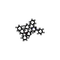 N/C(=N\C(=N/Cc1ccccc1)c1ccccc1-c1ccc(-c2c3ccccc3cc3c2oc2ccccc23)cc1)c1ccccc1